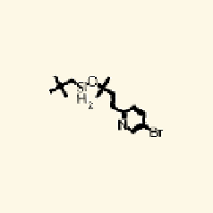 CC(C)(C)C[SiH2]OC(C)(C)CCc1ccc(Br)cn1